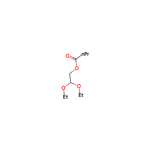 [CH2]CCC(=O)OCC(OCC)OCC